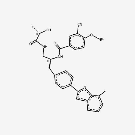 Cc1cccn2cc(-c3ccc(C[C@@H](CNC(=O)[C@H](C)O)NC(=O)c4ccc(OC(C)C)c(C#N)c4)cc3)nc12